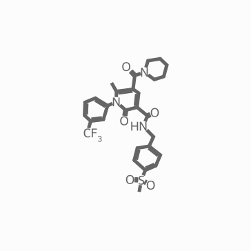 Cc1c(C(=O)N2CCCCC2)cc(C(=O)NCc2ccc(S(C)(=O)=O)cc2)c(=O)n1-c1cccc(C(F)(F)F)c1